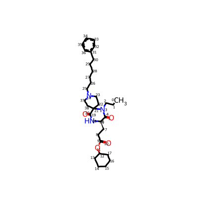 CCCN1C(=O)[C@@H](CCC(=O)OC2CCCCC2)NC(=O)C12CCN(CCCCCCc1ccccc1)CC2